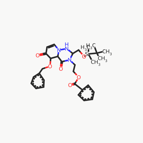 CC(C)(C)[Si](C)(C)OCC1NN2C=CC(=O)C(OCc3ccccc3)C2C(=O)N1CCOC(=O)c1ccccc1